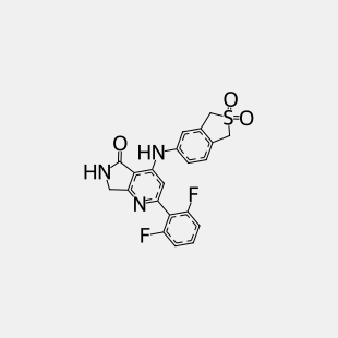 O=C1NCc2nc(-c3c(F)cccc3F)cc(Nc3ccc4c(c3)CS(=O)(=O)C4)c21